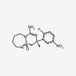 C[C@@]1(c2cc([N+](=O)[O-])ccc2F)C[S@@]2(=O)=NCCCCN2C(N)=N1